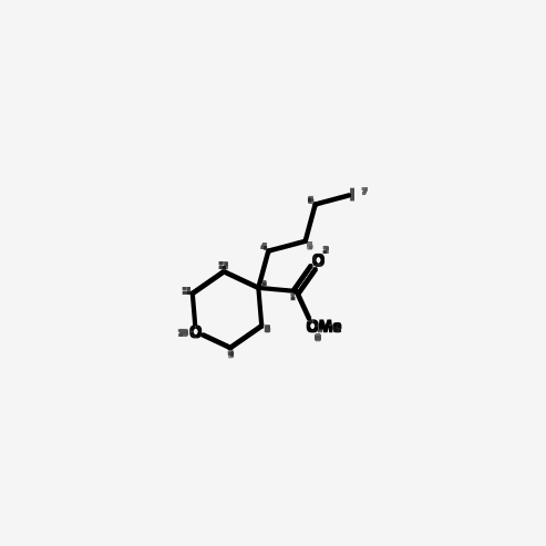 COC(=O)C1(CCCI)CCOCC1